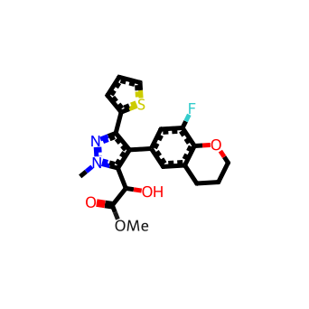 COC(=O)C(O)c1c(-c2cc(F)c3c(c2)CCCO3)c(-c2cccs2)nn1C